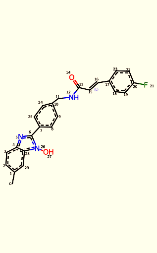 Cc1ccc2nc(-c3ccc(CNC(=O)/C=C/c4ccc(F)cc4)cc3)n(O)c2c1